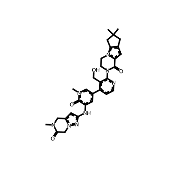 CN1Cc2cc(Nc3cc(-c4ccnc(N5CCn6c(cc7c6CC(C)(C)C7)C5=O)c4CO)cn(C)c3=O)nn2CC1=O